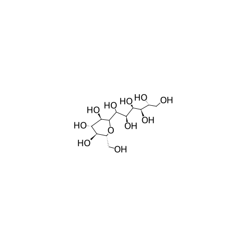 OC[C@@H](O)[C@@H](O)[C@H](O)[C@@H](O)C(O)C1O[C@H](CO)[C@@H](O)[C@H](O)[C@H]1O